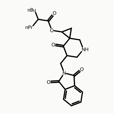 CCCCC(CCC)C(=O)OC1CC12CNCC(CN1C(=O)c3ccccc3C1=O)C2=O